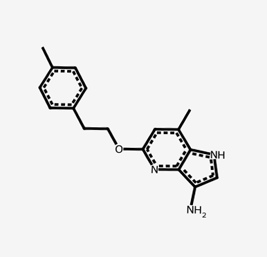 Cc1ccc(CCOc2cc(C)c3[nH]cc(N)c3n2)cc1